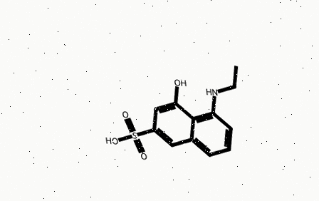 CCNc1cccc2cc(S(=O)(=O)O)cc(O)c12